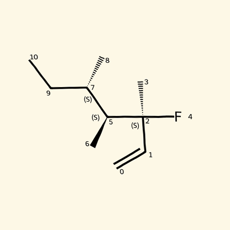 C=C[C@](C)(F)[C@@H](C)[C@@H](C)CC